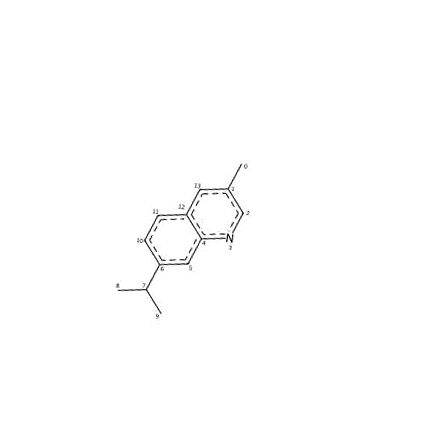 Cc1cnc2cc(C(C)C)ccc2c1